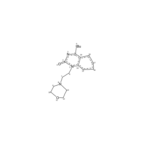 CC(C)(C)c1nc(=O)n(CCN2CCOCC2)c2ccccc12